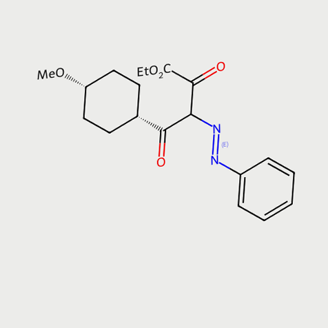 CCOC(=O)C(=O)C(/N=N/c1ccccc1)C(=O)[C@H]1CC[C@@H](OC)CC1